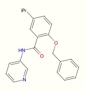 CC(C)c1ccc(OCc2ccccc2)c(C(=O)Nc2cccnc2)c1